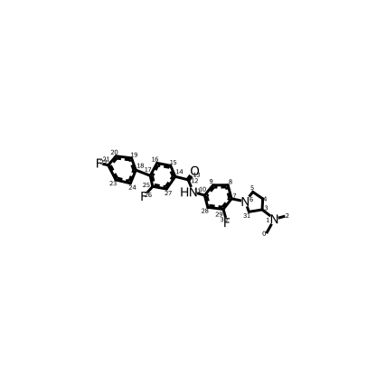 CN(C)C1CCN(c2ccc(NC(=O)c3ccc(-c4ccc(F)cc4)c(F)c3)cc2F)C1